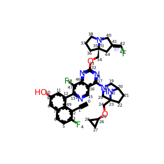 C#Cc1c(F)ccc2cc(O)cc(-c3ncc4c(N5CC6CCC(COC7CC7)(C5)N6)nc(OC[C@@]56CCCN5C/C(=C/F)C6)nc4c3F)c12